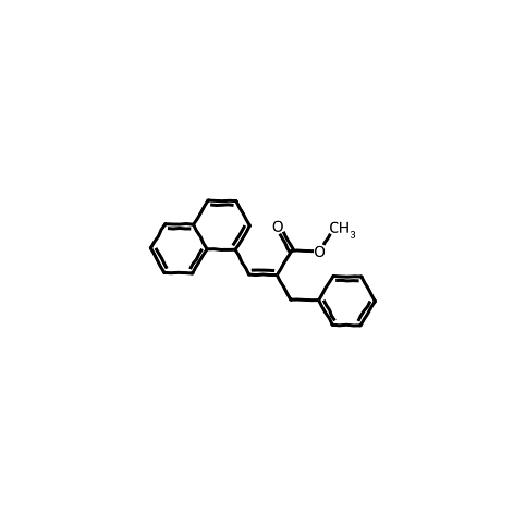 COC(=O)C(=Cc1cccc2ccccc12)Cc1ccccc1